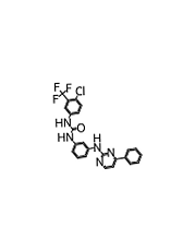 O=C(Nc1cccc(Nc2nccc(-c3ccccc3)n2)c1)Nc1ccc(Cl)c(C(F)(F)F)c1